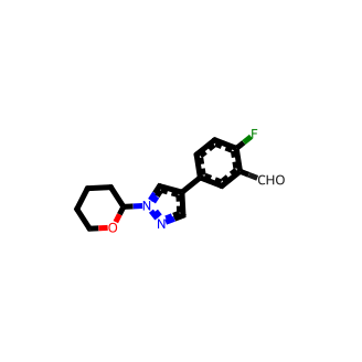 O=Cc1cc(-c2cnn(C3CCCCO3)c2)ccc1F